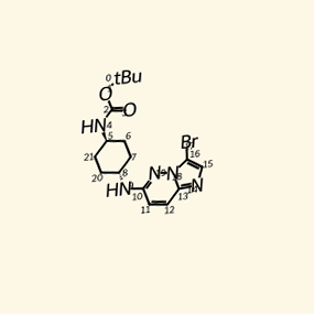 CC(C)(C)OC(=O)N[C@H]1CC[C@H](Nc2ccc3ncc(Br)n3n2)CC1